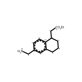 CCOC(=O)CC1CCCc2cc(CN)ccc21